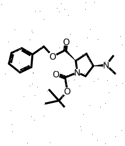 CN(C)[C@@H]1C[C@H](C(=O)OCc2ccccc2)N(C(=O)OC(C)(C)C)C1